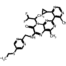 CCSc1cnc(CNc2nc3c(C)nc(-c4c(C)ncnc4C4CC4)nc3n(C(C)C(F)F)c2=O)nc1